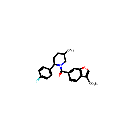 CCOC(=O)c1coc2cc(C(=O)N3CC(OC)CCC3c3ccc(F)cc3)ccc12